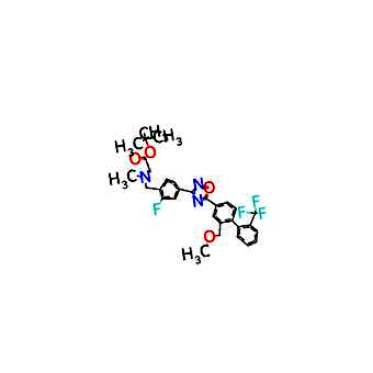 COCc1cc(-c2nc(-c3ccc(CN(C)CC(=O)OC(C)(C)C)c(F)c3)no2)ccc1-c1ccccc1C(F)(F)F